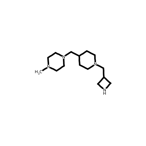 CN1CCN(CC2CCN(CC3CNC3)CC2)CC1